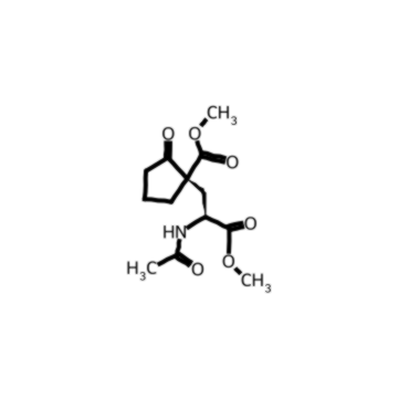 COC(=O)[C@H](C[C@@]1(C(=O)OC)CCCC1=O)NC(C)=O